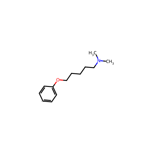 CN(C)CCCCCOc1cc[c]cc1